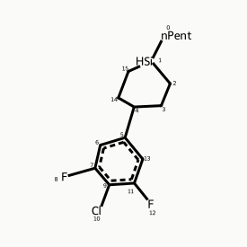 CCCCC[SiH]1CCC(c2cc(F)c(Cl)c(F)c2)CC1